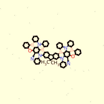 CC1(C)c2cc3c(cc2-c2cc4c(cc21)N(c1ccccc1)c1c(C#N)c2c5c6c1B4c1ccccc1N6c1ccccc1B5c1ccccc1O2)B1c2ccccc2N2c4ccccc4B4c5ccccc5Oc5c(C#N)c(c1c2c54)N3c1ccccc1